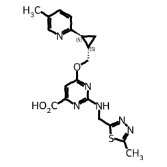 Cc1ccc([C@H]2C[C@@H]2COc2cc(C(=O)O)nc(NCc3nnc(C)s3)n2)nc1